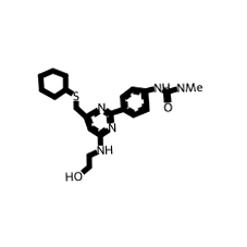 CNC(=O)Nc1ccc(-c2nc(CSC3CCCCC3)cc(NCCO)n2)cc1